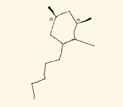 CCCCCC1C[C@@H](C)C[C@@H](C)C1C